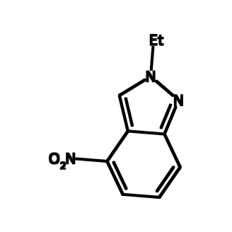 CCn1cc2c([N+](=O)[O-])cccc2n1